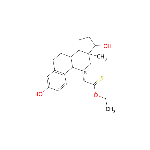 CCOC(=S)C[C@H]1CC2(C)C(O)CCC2C2CCc3cc(O)ccc3C21